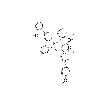 CCOC(=O)C1=C(C2(N)C=CC(c3ccc(OC)cc3)=CC2)CC(c2ccccc2)N(c2ccc(-c3ccccc3OC)cc2)C1c1ccccc1